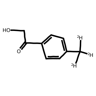 [2H]C([2H])([2H])c1ccc(C(=O)CO)cc1